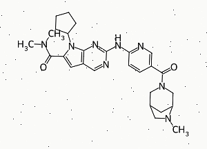 CN(C)C(=O)c1cc2cnc(Nc3ccc(C(=O)N4CC5CC(C4)N(C)C5)cn3)nc2n1C1CCCC1